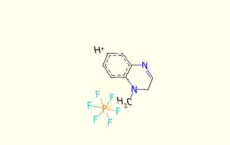 CN1CC=Nc2ccccc21.F[P-](F)(F)(F)(F)F.[H+]